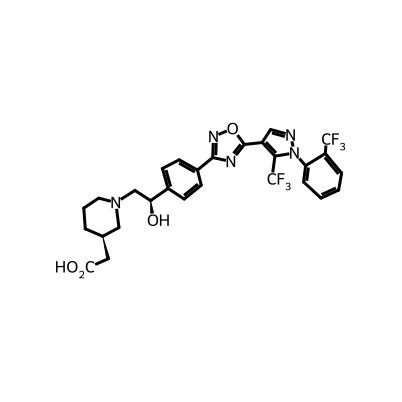 O=C(O)C[C@H]1CCCN(C[C@H](O)c2ccc(-c3noc(-c4cnn(-c5ccccc5C(F)(F)F)c4C(F)(F)F)n3)cc2)C1